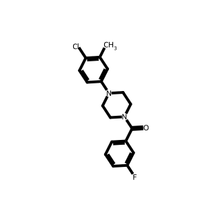 Cc1cc(N2CCN(C(=O)c3cccc(F)c3)CC2)ccc1Cl